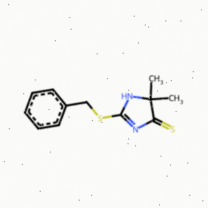 CC1(C)NC(SCc2ccccc2)=NC1=S